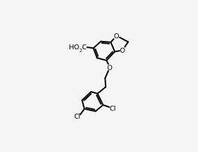 O=C(O)c1cc(OCCc2ccc(Cl)cc2Cl)c2c(c1)OCO2